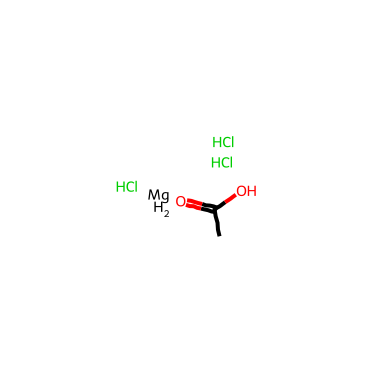 CC(=O)O.Cl.Cl.Cl.[MgH2]